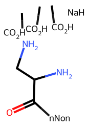 CC(=O)O.CC(=O)O.CC(=O)O.CCCCCCCCCC(=O)C(N)CN.[NaH]